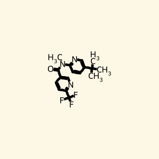 CN(C(=O)c1ccc(C(F)(F)F)nc1)c1ccc(C(C)(C)C)cn1